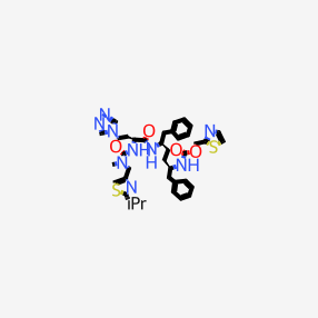 CC(C)c1nc(CN(C)C(=O)N[C@@H](CCn2cnnc2)C(=O)N[C@H](CC[C@H](Cc2ccccc2)NC(=O)OCc2nccs2)Cc2ccccc2)cs1